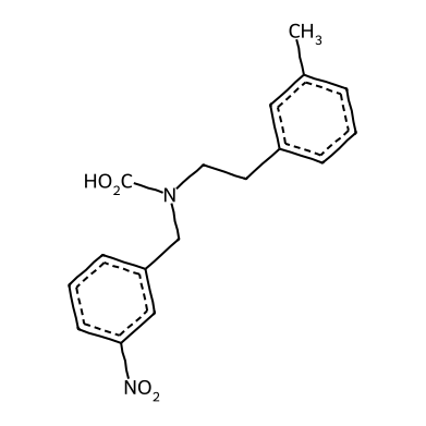 Cc1cccc(CCN(Cc2cccc([N+](=O)[O-])c2)C(=O)O)c1